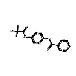 CC(C)(O)C(=O)Nc1ccc(NC(=O)c2ccccc2)nc1